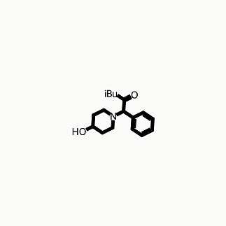 CCC(C)C(=O)C(c1ccccc1)N1CCC(O)CC1